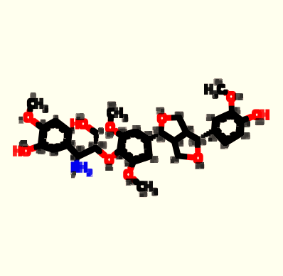 COc1ccc([C@@H](N)[C@H](CO)Oc2c(OC)cc([C@@H]3OCC4C3CO[C@H]4c3ccc(O)c(OC)c3)cc2OC)cc1O